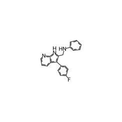 Fc1ccc(-c2c(CNc3ccccc3)[nH]c3ncccc23)cc1